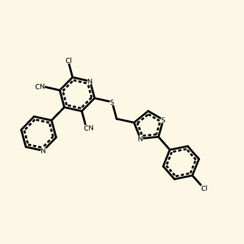 [C-]#[N+]c1c(Cl)nc(SCc2csc(-c3ccc(Cl)cc3)n2)c(C#N)c1-c1cccnc1